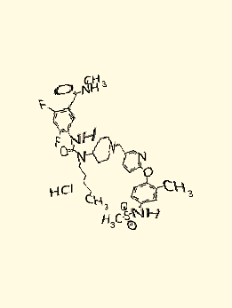 CCCCCN(C(=O)Nc1cc(C(=O)NC)c(F)cc1F)C1CCN(Cc2ccc(Oc3ccc(NS(C)(=O)=O)cc3C)nc2)CC1.Cl